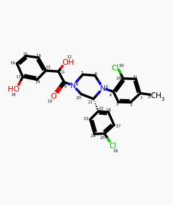 Cc1ccc(N2CCN(C(=O)C(O)c3cccc(O)c3)C[C@H]2c2ccc(Cl)cc2)c(Cl)c1